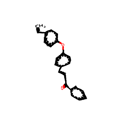 C=Cc1ccc(Oc2ccc(/C=C/C(=O)c3ccccc3)cc2)cc1